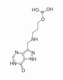 O=c1[nH]cnc2c(CNCCCOP(O)O)n[nH]c12